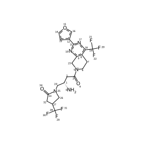 N[C@@H](CC(=O)N1CCc2c(nc(-c3ccoc3)nc2C(F)(F)F)C1)CN1CC(C(F)(F)F)CC1=O